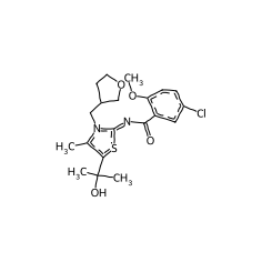 COc1ccc(Cl)cc1C(=O)N=c1sc(C(C)(C)O)c(C)n1CC1CCOC1